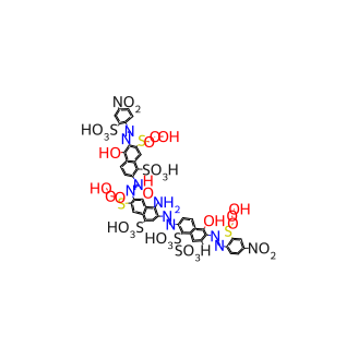 Nc1c(N=Nc2ccc3c(O)c(N=Nc4ccc([N+](=O)[O-])cc4SOOO)c(S(=O)(=O)O)cc3c2S(=O)(=O)O)cc(S(=O)(=O)O)c2cc(SOOO)c(N=Nc3ccc4c(O)c(N=Nc5ccc([N+](=O)[O-])cc5S(=O)(=O)O)c(SOOO)cc4c3S(=O)(=O)O)c(O)c12